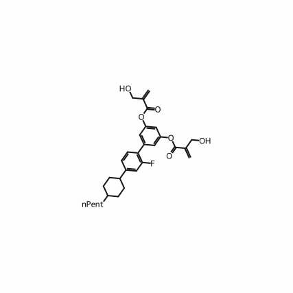 C=C(CO)C(=O)Oc1cc(OC(=O)C(=C)CO)cc(-c2ccc(C3CCC(CCCCC)CC3)cc2F)c1